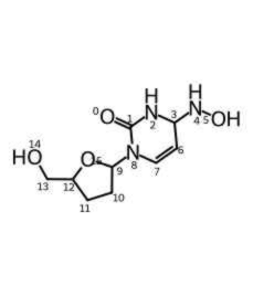 O=C1NC(NO)C=CN1C1CCC(CO)O1